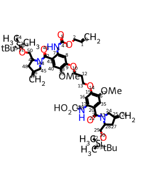 C=CCOC(=O)Nc1cc(OCCCOc2cc(NC(=O)O)c(C(=O)N3CC(=C)CC3CO[Si](C)(C)C(C)(C)C)cc2OC)c(OC)cc1C(=O)N1CC(=C)CC1CO[Si](C)(C)C(C)(C)C